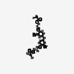 C=C(C)C(=O)OCCCOc1ccc(Cc2ccc(OCCCOC(=O)C(=C)C)c(Br)c2)cc1Br